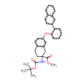 COC(=O)C1(NC(=O)OC(C)(C)C)CCc2ccc(Oc3ccccc3-c3ccc4ccccc4c3)cc2C1